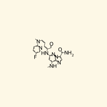 CNc1cc(N/C(C=O)=C/C=C\N(C)c2ccc(F)cn2)nn2c(C(N)=O)cnc12